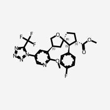 COC(=O)[C@H]1CC[C@@]2(C[C@@H](c3cc(-n4nnnc4C(F)(F)F)cnc3OC)CO2)[C@@H]1c1ccc(F)cc1